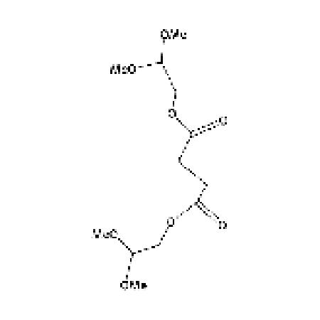 COC(COC(=O)CCC(=O)OCC(OC)OC)OC